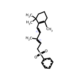 CC1=C(/C=C/C(C)=C/CS(=O)(=O)c2ccccc2)C(C)(C)CCC1